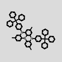 Cc1ccc2c(c1)N(c1ccc(C(c3ccccc3)(c3ccccc3)c3ccccc3)cc1)c1cc(C)cc3c1B2c1ccc(C)cc1N3c1ccc(C(c2ccccc2)(c2ccccc2)c2ccccc2)cc1